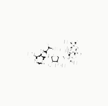 CC(C)(C)C(=S)c1nc2c(N)ncnc2n1[C@@H]1O[C@H](COP(=O)(O)OP(=O)(O)OP(=O)(O)O)[C@@H](O)[C@H]1O